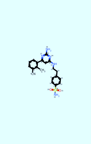 Cc1c(C#N)cccc1-c1cc(NCCc2ccc(S(N)(=O)=O)cc2)nc(N)n1